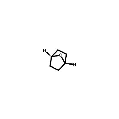 [CH]1C[C@H]2CC[C@@H]1O2